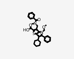 COCn1c(-c2ccccc2)c(C2CCCCC2)c2sc(C(=O)O)c(CN(C)C(=O)c3ccccc3)c21